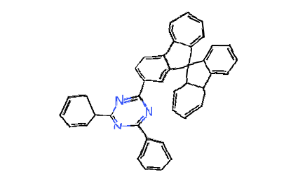 C1=CCC(c2nc(-c3ccccc3)nc(-c3ccc4c(c3)C3(c5ccccc5-4)c4ccccc4C4C=CC=CC43)n2)C=C1